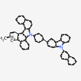 C=C/C=C\c1c(C)c2ccccc2c2c1c1c3ccccc3ccc1n2-c1ccc(-c2ccc3c(c2)c2ccccc2n3-c2ccc3ccccc3c2)cc1